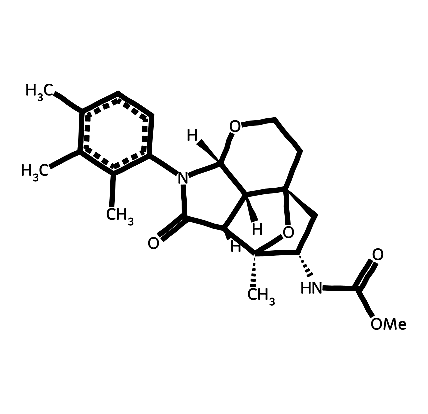 COC(=O)N[C@H]1C[C@]23CCO[C@@H]4[C@H]2[C@@H](C(=O)N4c2ccc(C)c(C)c2C)[C@@]1(C)O3